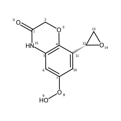 O=C1COc2c(cc(OO)cc2[C@@H]2CO2)N1